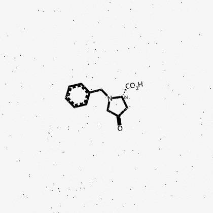 O=C1C[C@@H](C(=O)O)N(Cc2ccccc2)C1